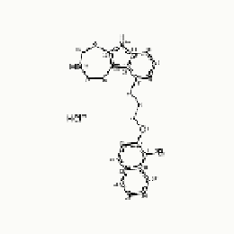 Brc1c(OCCCc2cccc3[nH]c4c(c23)CCNCC4)ccc2ccccc12.Cl